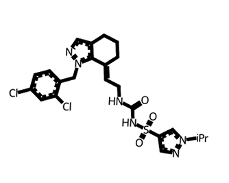 CC(C)n1cc(S(=O)(=O)NC(=O)NCC=C2CCCc3cnn(Cc4ccc(Cl)cc4Cl)c32)cn1